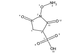 NON1C(=O)CC(S(=O)(=O)O)C1=O